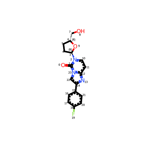 O=c1n([C@H]2CC[C@H](CO)O2)ccc2nc(-c3ccc(F)cc3)cn12